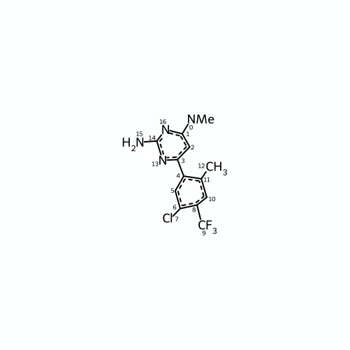 CNc1cc(-c2cc(Cl)c(C(F)(F)F)cc2C)nc(N)n1